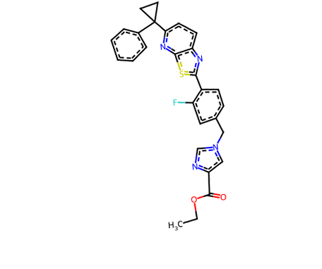 CCOC(=O)c1cn(Cc2ccc(-c3nc4ccc(C5(c6ccccc6)CC5)nc4s3)c(F)c2)cn1